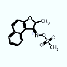 CC1Oc2ccc3ccccc3c2/C1=N/OS(C)(=O)=O